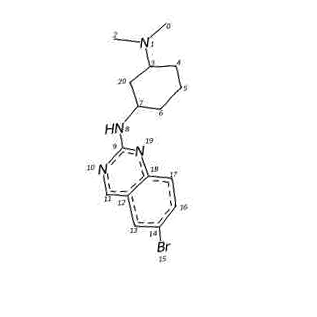 CN(C)C1CCCC(Nc2ncc3cc(Br)ccc3n2)C1